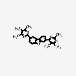 Cc1nc(C)c(C)c(-c2ccc3c(c2)oc2ccc(-c4nc(C)c(C)c(C)n4)cc23)n1